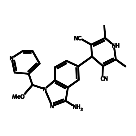 COC(c1cccnc1)n1nc(N)c2cc(C3C(C#N)=C(C)NC(C)=C3C#N)ccc21